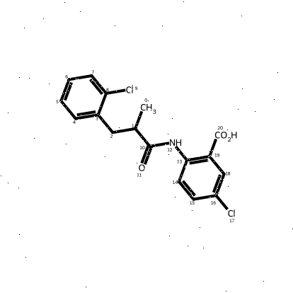 CC(Cc1ccccc1Cl)C(=O)Nc1ccc(Cl)cc1C(=O)O